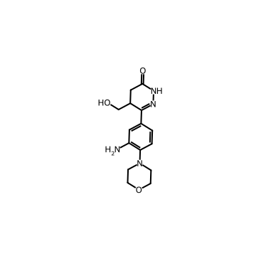 Nc1cc(C2=NNC(=O)CC2CO)ccc1N1CCOCC1